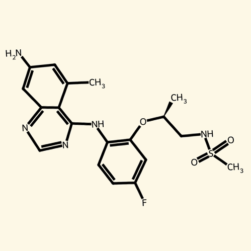 Cc1cc(N)cc2ncnc(Nc3ccc(F)cc3O[C@@H](C)CNS(C)(=O)=O)c12